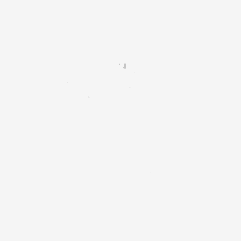 NC(=O)C(=C1CCc2ccccc21)C1CC1